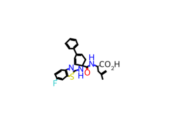 C=C(C)C[C@H](NC(=O)C1(Nc2nc3ccc(F)cc3s2)C=CC(c2ccccc2)=CC1)C(=O)O